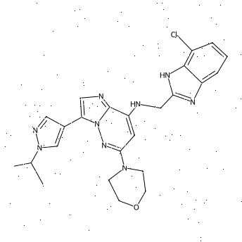 CC(C)n1cc(-c2cnc3c(NCc4nc5cccc(Cl)c5[nH]4)cc(N4CCOCC4)nn23)cn1